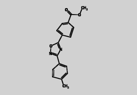 COC(=O)c1ccc(-c2nc(-c3ccc(C)cc3)no2)cc1